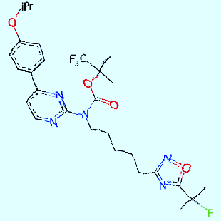 CC(C)Oc1ccc(-c2ccnc(N(CCCCCc3noc(C(C)(C)F)n3)C(=O)OC(C)(C)C(F)(F)F)n2)cc1